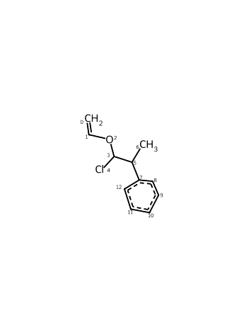 C=COC(Cl)C(C)c1ccccc1